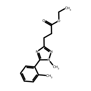 CCOC(=O)CCc1nc(-c2ccccc2C)n(C)n1